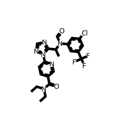 CCN(CC)C(=O)c1ccc(-n2ncnc2C(C)N(C=O)c2cc(Cl)cc(C(F)(F)F)c2)nc1